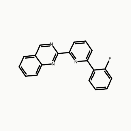 Fc1ccccc1-c1cccc(-c2ncc3ccccc3n2)n1